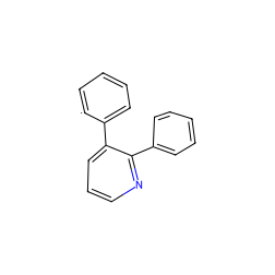 [c]1ccccc1-c1cccnc1-c1ccccc1